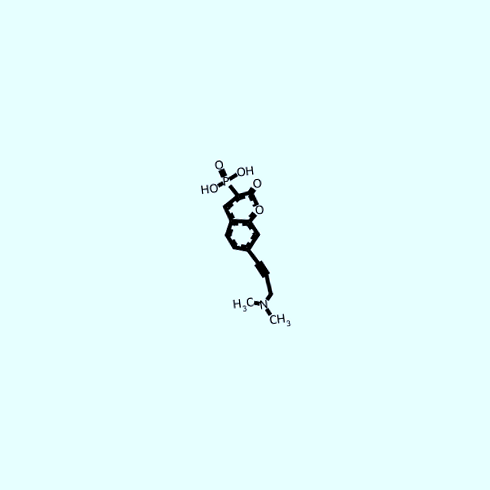 CN(C)CC#Cc1ccc2cc(P(=O)(O)O)c(=O)oc2c1